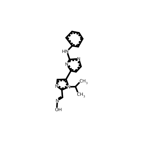 CC(C)n1c(-c2ccnc(Nc3ccccc3)n2)cnc1C=NO